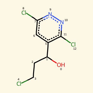 OC(CCCl)c1cc(Cl)nnc1Cl